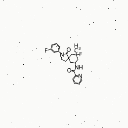 CC1(F)CC(NC(=O)c2ccccn2)CC2(CCN(c3cccc(F)c3)C2=O)C1